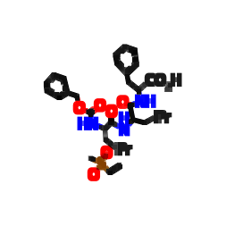 C=CS(C)(=O)=O.CC(C)CC(NC(=O)OCc1ccccc1)C(=O)NC(CC(C)C)C(=O)NC(Cc1ccccc1)C(=O)O